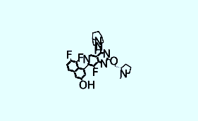 CN1CCC[C@H]1COc1nc(N2CC3CCC(C2)N3)c2cnc(-c3cc(O)cc4ccc(F)c(F)c34)c(F)c2n1